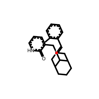 O=c1[nH]cccc1CN1CC2CCCC(C1)C2/C=C/c1ccccc1F